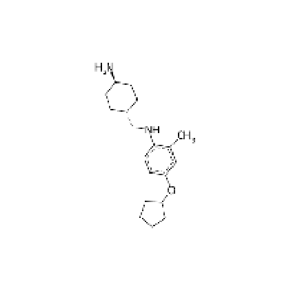 Cc1cc(OC2CCCC2)ccc1NC[C@H]1CC[C@H](N)CC1